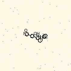 COc1cc(-c2ccc(-c3cc4c(nn3)N([C@H]3C[C@]5(C)CC[C@](C)(C3)N5)CCC4)c(O)c2)ccn1